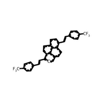 FC(F)(F)c1ccc(/C=C/c2ccc3ccc4c(/C=C/c5ccc(C(F)(F)F)cc5)ccc5ccc2c3c54)cc1